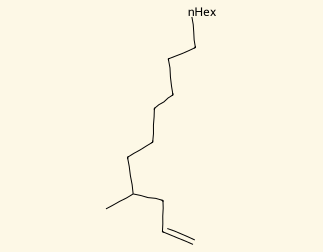 C=CCC(C)CCCCCCCCCCCC